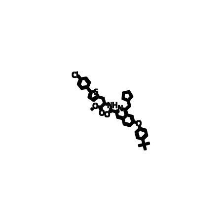 COC(=O)C(Cc1ccc(-c2ccc(Cl)cc2)s1)NC(=O)c1cc2ccc(Oc3ccc(C(C)(C)C)cc3)cc2c(CC2CCCC2)n1